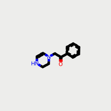 O=C(CN1C=CNCC1)c1ccccc1